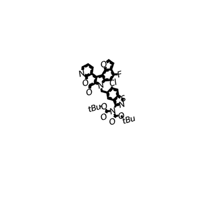 CC(C)(C)OC(=O)N(C(=O)OC(C)(C)C)c1nsc2cc(Cl)c(Cn3c4cc(F)c5ccoc5c4c4c5cccnc5oc(=O)c43)cc12